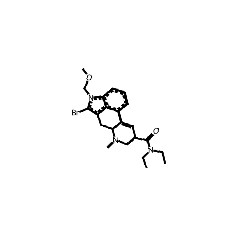 CCN(CC)C(=O)C1C=C2c3cccc4c3c(c(Br)n4COC)CC2N(C)C1